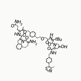 Cc1ncsc1-c1ccc(CNC(=O)[C@@H]2C[C@@H](O)CN2C(=O)[C@@H](NC(=O)COCCc2ccc(CO[C@H](C)[C@H](CCC(N)=O)NC(=O)[C@@H]3Cc4cccc5c4N3C(=O)[C@@H](N)CC5)cc2)C(C)(C)C)cc1